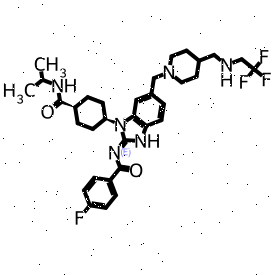 CC(C)NC(=O)[C@H]1CC[C@@H](n2/c(=N/C(=O)c3ccc(F)cc3)[nH]c3ccc(CN4CCC(CNCC(F)(F)F)CC4)cc32)CC1